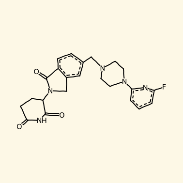 O=C1CCC(N2Cc3cc(CN4CCN(c5cccc(F)n5)CC4)ccc3C2=O)C(=O)N1